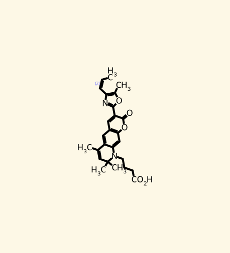 C/C=C\c1nc(-c2cc3cc4c(cc3oc2=O)N(CCCC(=O)O)C(C)(C)C=C4C)oc1C